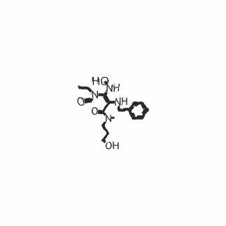 CCN(C=O)/C(NO)=C(/NCc1ccccc1)C(=O)N(C)CCCO